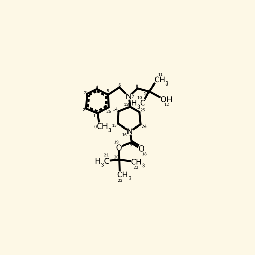 Cc1cccc(CN(CC(C)(C)O)C2CCN(C(=O)OC(C)(C)C)CC2)c1